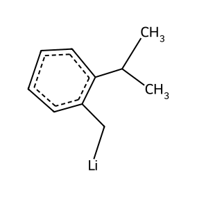 [Li][CH2]c1ccccc1C(C)C